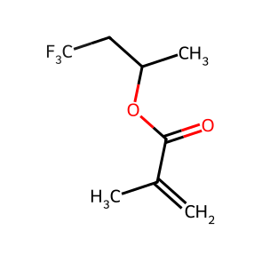 C=C(C)C(=O)OC(C)CC(F)(F)F